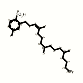 CC(=CCCc1cc(C)ccc1S(=O)(=O)O)CCCC(C)CCCC(C)CCCC(C)C